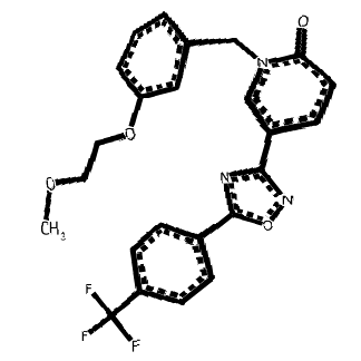 COCCOc1cccc(Cn2cc(-c3noc(-c4ccc(C(F)(F)F)cc4)n3)ccc2=O)c1